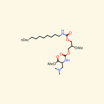 CCCCCCCCCCCCCCCCCCNC(=O)OCC(COC(=O)NC(CN(C)C)C(=O)OC)OC